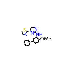 COc1ccc(-c2ccccc2)cc1Nc1nccc(C2=NCCS2)n1